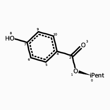 CCC[C@H](C)OC(=O)c1ccc(O)cc1